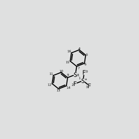 F[S+](F)F.c1ccc(Sc2ccccc2)cc1